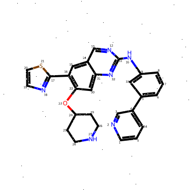 c1cncc(-c2cccc(Nc3ncc4cc(-c5nccs5)c(OC5CCNCC5)cc4n3)c2)c1